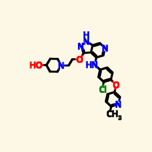 Cc1ccc(Oc2ccc(Nc3cncc4[nH]nc(OCCN5CCC(O)CC5)c34)cc2Cl)cn1